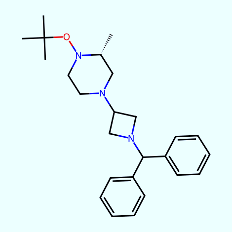 C[C@@H]1CN(C2CN(C(c3ccccc3)c3ccccc3)C2)CCN1OC(C)(C)C